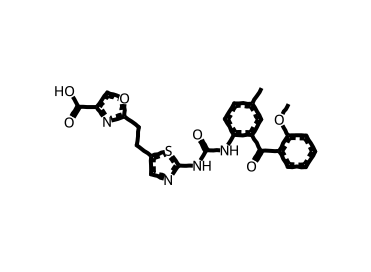 COc1ccccc1C(=O)c1cc(C)ccc1NC(=O)Nc1ncc(CCc2nc(C(=O)O)co2)s1